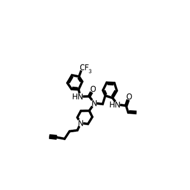 C#CCCCN1CCC(N(Cc2ccccc2NC(=O)C=C)C(=O)Nc2cccc(C(F)(F)F)c2)CC1